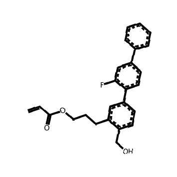 C=CC(=O)OCCCc1cc(-c2ccc(-c3ccccc3)cc2F)ccc1CO